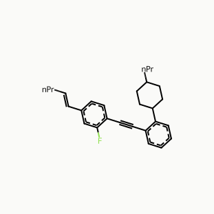 CCC/C=C/c1ccc(C#Cc2ccccc2C2CCC(CCC)CC2)c(F)c1